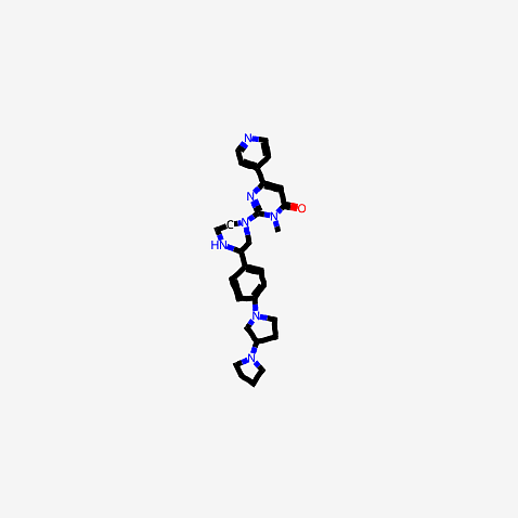 Cn1c(N2CCNC(c3ccc(N4CCC(N5CCCC5)C4)cc3)C2)nc(-c2ccncc2)cc1=O